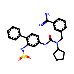 N=C(N)c1cccc(CN(C(=O)Nc2ccc(-c3ccccc3)c(N[SH](=O)=O)c2)C2CCCC2)c1